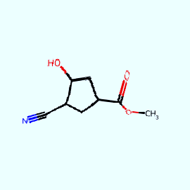 COC(=O)C1CC(O)C(C#N)C1